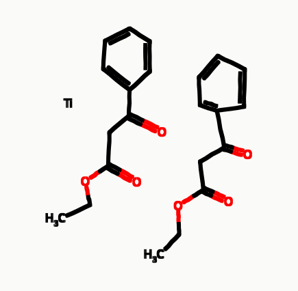 CCOC(=O)CC(=O)c1ccccc1.CCOC(=O)CC(=O)c1ccccc1.[Ti]